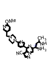 COc1ccc(CN2CCN(c3ccc(-c4nc(/C(N)=C/C(C)=N)cn5ncc(C#N)c45)cn3)CC2)cn1